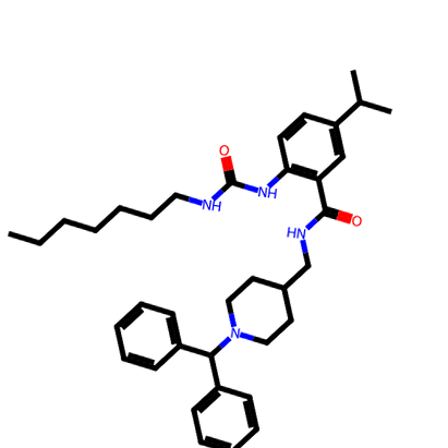 CCCCCCCNC(=O)Nc1ccc(C(C)C)cc1C(=O)NCC1CCN(C(c2ccccc2)c2ccccc2)CC1